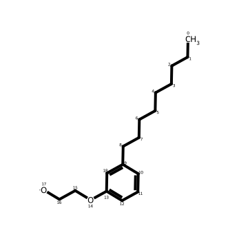 CCCCCCCCCc1cccc(OCC[O])c1